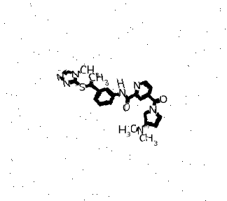 CC(Sc1nncn1C)c1cccc(NC(=O)c2cc(C(=O)N3CC[C@@H](N(C)C)C3)ccn2)c1